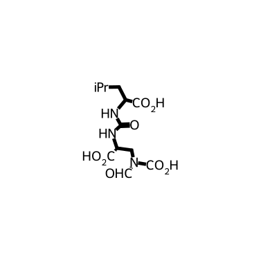 CC(C)CC(NC(=O)N[C@@H](CN(C=O)C(=O)O)C(=O)O)C(=O)O